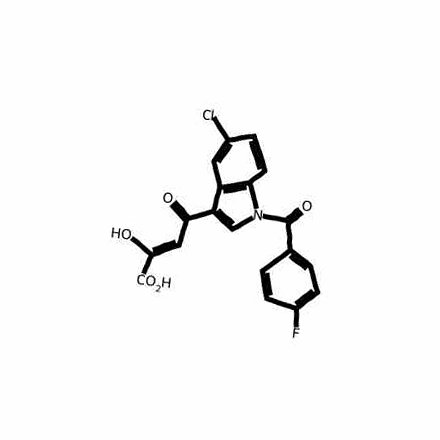 O=C(O)/C(O)=C/C(=O)c1cn(C(=O)c2ccc(F)cc2)c2ccc(Cl)cc12